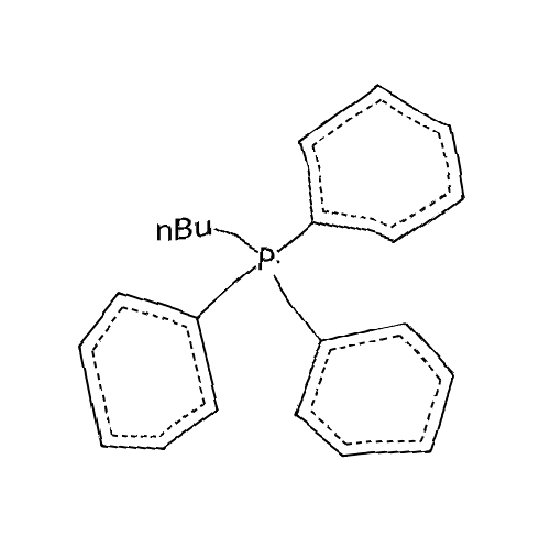 CCCC[P](c1ccccc1)(c1ccccc1)c1ccccc1